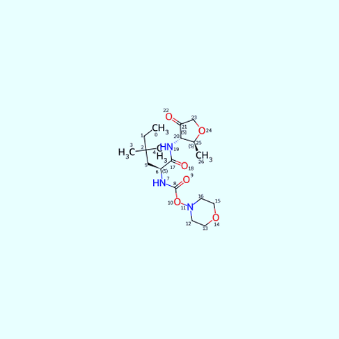 CCC(C)(C)C[C@H](NC(=O)ON1CCOCC1)C(=O)N[C@@H]1C(=O)CO[C@H]1C